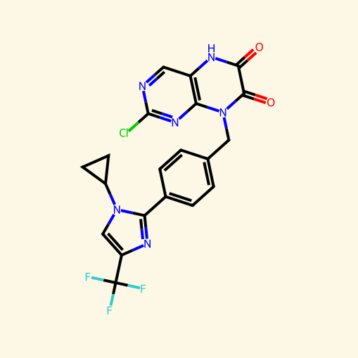 O=c1[nH]c2cnc(Cl)nc2n(Cc2ccc(-c3nc(C(F)(F)F)cn3C3CC3)cc2)c1=O